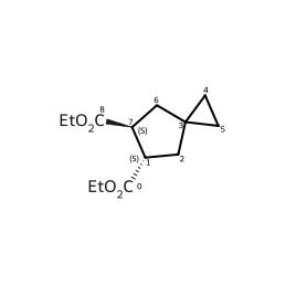 CCOC(=O)[C@H]1CC2(CC2)C[C@@H]1C(=O)OCC